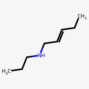 CCC=CCNCCC